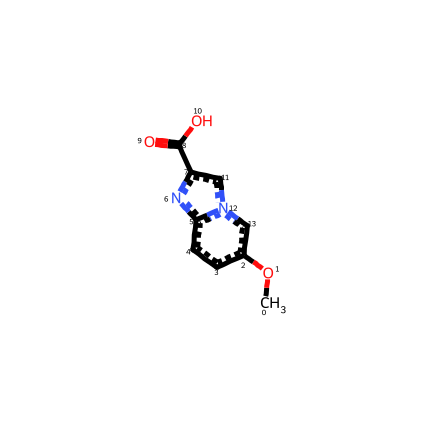 COc1ccc2nc(C(=O)O)cn2c1